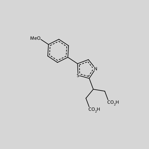 COc1ccc(-c2cnc(C(CC(=O)O)CC(=O)O)s2)cc1